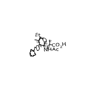 CC[C@H]1O[C@H](C(F)(F)C(=O)O)[C@H](NC(C)=O)[C@@H](OCc2ccccc2)[C@H]1C